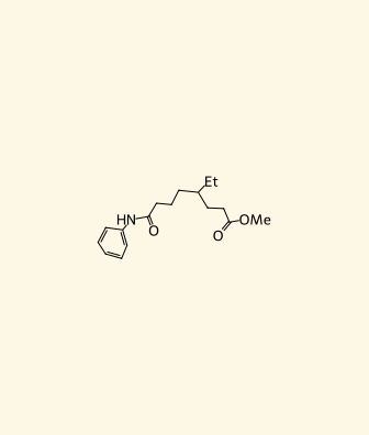 CCC(CCCC(=O)Nc1ccccc1)CCC(=O)OC